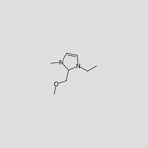 CCN1C=CN(C)C1COC